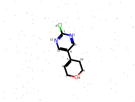 Clc1n[c]c(C2=CCOCC2)cn1